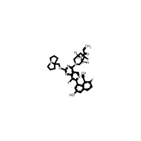 C#Cc1c(F)ccc2cc(O)cc(-c3ncc4c(N5C[C@@H]6CC(F)(F)[C@H](C5)N6C(=O)C=C)nc(OCC56CCCN5CCC6)nc4c3F)c12